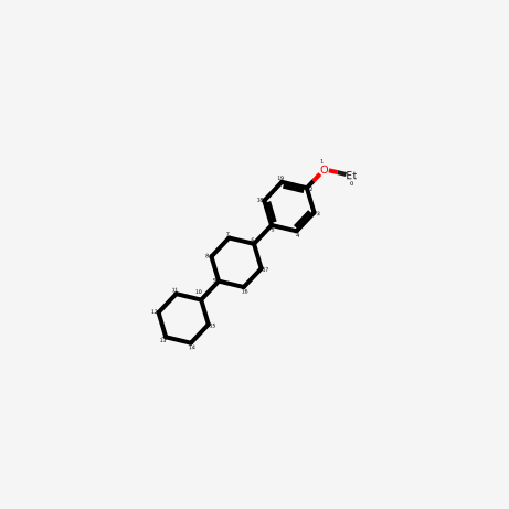 CCOc1ccc(C2CCC(C3CC[CH]CC3)CC2)cc1